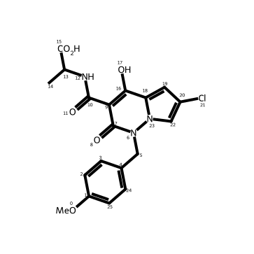 COc1ccc(Cn2c(=O)c(C(=O)NC(C)C(=O)O)c(O)c3cc(Cl)cn32)cc1